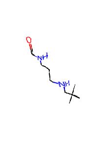 CC(C)(C)CNCCCNC=O